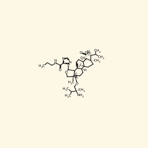 CCCNC(=O)c1ncnn1C1OC[C@]2(C)[C@H]3CC[C@H]4C(=CC[C@@]5(C)[C@H](C(=O)O)[C@@](C)([C@H](C)C(C)C)CC[C@]45C)[C@]13CC[C@H]2OC[C@@](C)(N)C(C)C